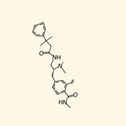 CNC(=O)c1ccc(C[C@@H](CNC(=O)CC(C)(C)c2ccccc2)N(C)C)cc1F